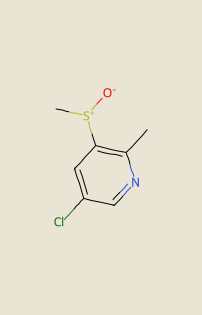 Cc1ncc(Cl)cc1[S+](C)[O-]